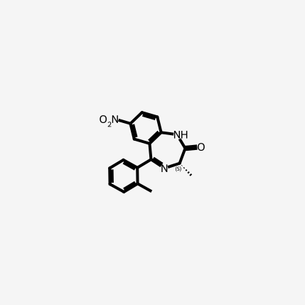 Cc1ccccc1C1=N[C@@H](C)C(=O)Nc2ccc([N+](=O)[O-])cc21